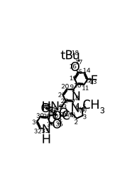 C[C@@H]1CC[C@H](C)N1c1nc(-c2cc(F)cc(OCC(C)(C)C)c2)ccc1C(=O)NS(=O)(=O)c1ccc[nH]c1=O